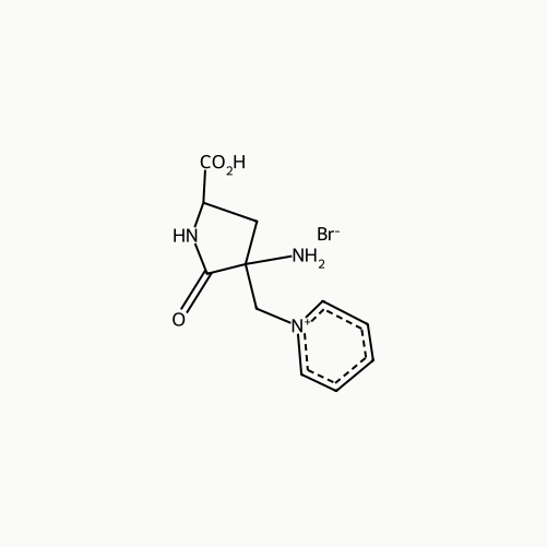 NC1(C[n+]2ccccc2)CC(C(=O)O)NC1=O.[Br-]